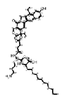 CCCCCCCCCCCCC(NC(=O)[C@H](CCCCN)NC(=O)CCC(=O)O[C@]1(CC)C(=O)OCc2c1cc1n(c2=O)Cc2c-1nc1ccc(O)cc1c2CC)C(=O)O